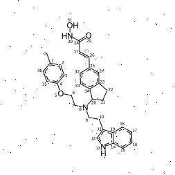 Cc1ccc(OCCN(CCc2c[nH]c3ccccc23)C2CCc3cc(/C=C/C(=O)NO)ccc32)cc1